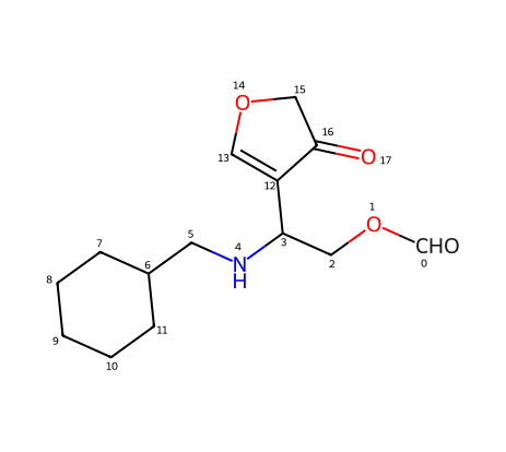 O=COCC(NCC1CCCCC1)C1=COCC1=O